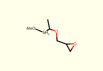 CO[SiH2]C(C)OCC1CO1